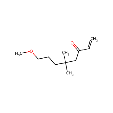 C=CC(=O)CC(C)(C)CCCOC